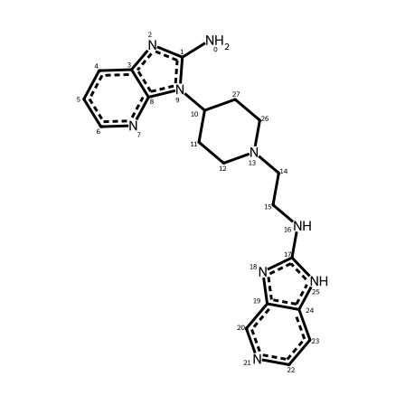 Nc1nc2cccnc2n1C1CCN(CCNc2nc3cnccc3[nH]2)CC1